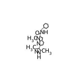 Cc1n[nH]c(C)c1-c1ccc2cc(C(=O)NCc3ccccc3)n(C)c2n1